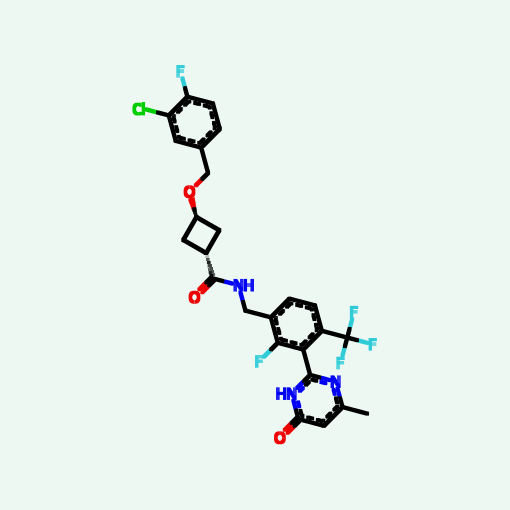 Cc1cc(=O)[nH]c(-c2c(C(F)(F)F)ccc(CNC(=O)[C@H]3C[C@H](OCc4ccc(F)c(Cl)c4)C3)c2F)n1